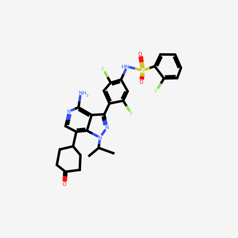 CC(C)n1nc(-c2cc(F)c(NS(=O)(=O)c3ccccc3F)cc2F)c2c(N)ncc(C3CCC(=O)CC3)c21